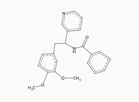 COc1ccc(CC(NC(=O)c2ccccc2)c2cccnc2)cc1OC